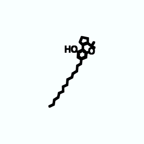 CCCCCCCCCCCCCCc1cc(O)c2c(c1)OC(C)(C)C1=C2CCC1